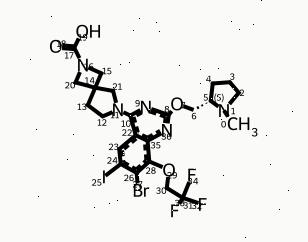 CN1CCC[C@H]1COc1nc(N2CCC3(CN(C(=O)O)C3)C2)c2cc(I)c(Br)c(OCC(F)(F)F)c2n1